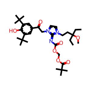 CCC(CC)(CCn1ccn(CC(=O)c2cc(C(C)(C)C)c(O)c(C(C)(C)C)c2)/c1=N/C(=O)OCOC(=O)C(C)(C)C)OC